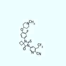 CN1CCC(Oc2ccc(N3C(=S)N(c4cnc(C#N)c(CC(F)(F)F)c4)C(=O)C34CCC4)cc2F)CC1